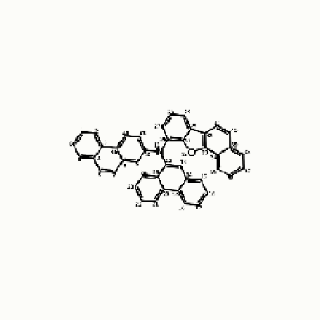 c1ccc2c(c1)ccc1cc(N(c3cc4ccccc4c4ccccc34)c3cccc4c3oc3c5ccccc5ccc43)ccc12